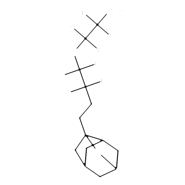 O=S(=O)(O)C(F)(F)C(F)(F)OC(F)(F)C(F)(F)CCC12CC3CC(CC1C3)C2